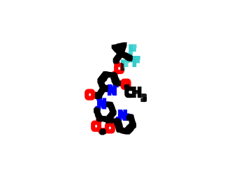 COc1nc(C(=O)N2CC[C@]3(c4ccccn4)OCOC3C2)ccc1OCC1(C(F)(F)F)CC1